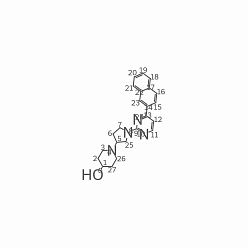 OC1CCN(C2CCN(c3nccc(-c4ccc5ccccc5c4)n3)C2)CC1